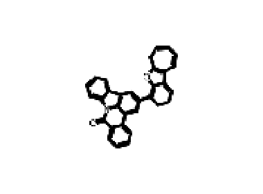 O=c1c2ccccc2c2cc(C3=c4oc5c(c4=CCC3)C=CC=CC5)cc3c4ccccc4n1c23